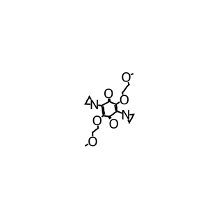 COCCOC1=C(N2CC2)C(=O)C(OCCOC)=C(N2CC2)C1=O